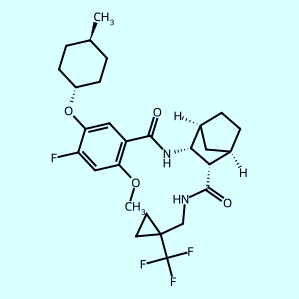 COc1cc(F)c(O[C@H]2CC[C@H](C)CC2)cc1C(=O)N[C@@H]1[C@H]2CC[C@H](C2)[C@@H]1C(=O)NCC1(C(F)(F)F)CC1